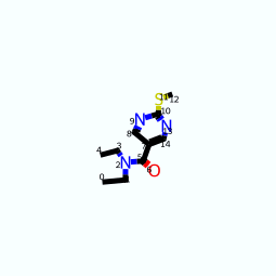 CCN(CC)C(=O)c1cnc(SC)nc1